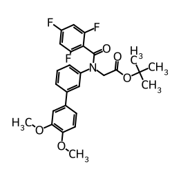 COc1ccc(-c2cccc(N(CC(=O)OC(C)(C)C)C(=O)c3c(F)cc(F)cc3F)c2)cc1OC